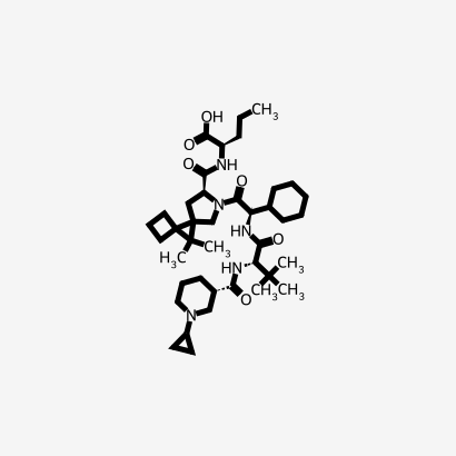 CCC[C@@H](NC(=O)[C@@H]1CC2(CN1C(=O)[C@H](NC(=O)[C@@H](NC(=O)[C@H]1CCCN(C3CC3)C1)C(C)(C)C)C1CCCCC1)C(C)(C)C21CCC1)C(=O)O